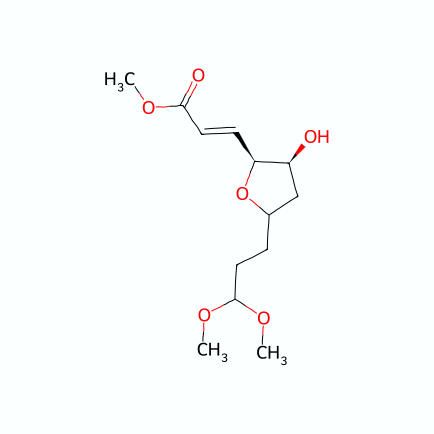 COC(=O)/C=C/[C@@H]1OC(CCC(OC)OC)C[C@@H]1O